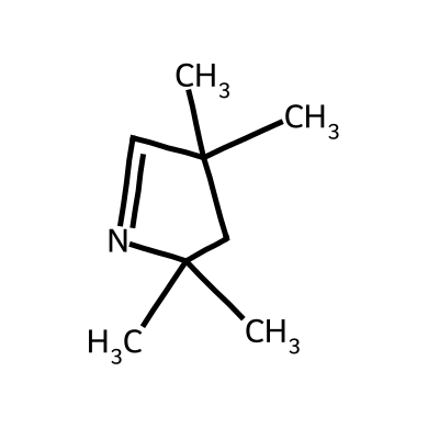 CC1(C)C=NC(C)(C)C1